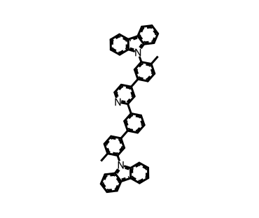 Cc1ccc(-c2cccc(-c3cc(-c4ccc(C)c(-n5c6ccccc6c6ccccc65)c4)ccn3)c2)cc1-n1c2ccccc2c2ccccc21